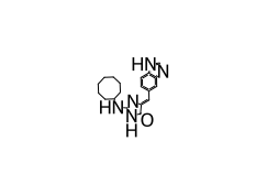 O=C1NC(NC2CCCCCCC2)=N/C1=C\c1ccc2[nH]cnc2c1